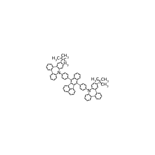 CS(C)(C)c1ccc2c(c1)-c1ccccc1-c1ccccc1N2c1ccc(-c2c3c(c(-c4ccc(N5c6ccccc6-c6ccccc6-c6cc(S(C)(C)C)ccc65)cc4)c4ccccc24)-c2cccc4cccc-3c24)cc1